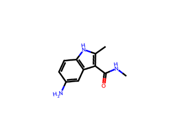 CNC(=O)c1c(C)[nH]c2ccc(N)cc12